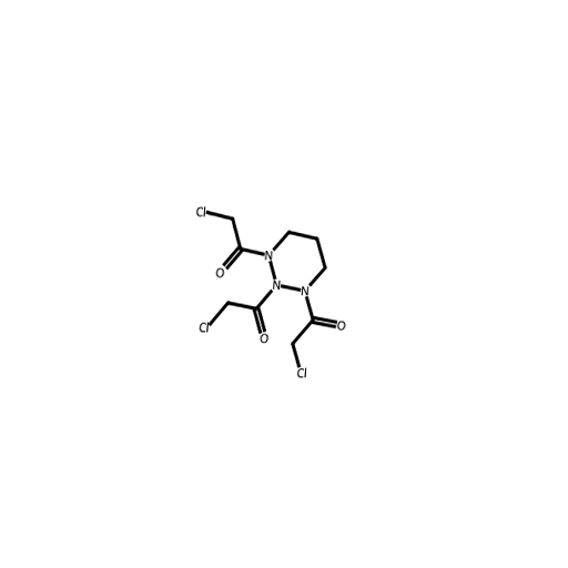 O=C(CCl)N1CCCN(C(=O)CCl)N1C(=O)CCl